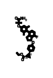 CCOC(=O)[C@H]1C[C@@H]1c1ccc(O[C@@H]2CCc3c(-c4c(C)cc(OC(C)(C)C(N)=O)cc4C)ccc(F)c32)cc1